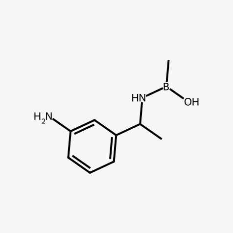 CB(O)NC(C)c1cccc(N)c1